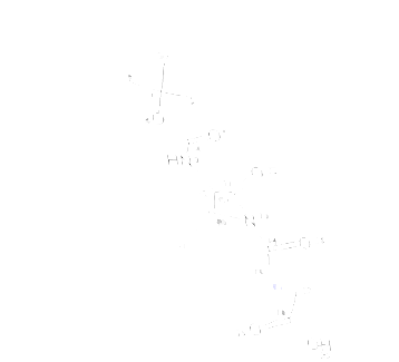 C[C@@H]1[C@H](NC(=O)OC(C)(C)C)C(=O)N1C(=O)/C=C/C(=O)O